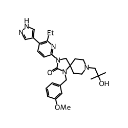 CCc1nc(N2CC3(CCN(CC(C)(C)O)CC3)N(Cc3cccc(OC)c3)C2=O)ccc1-c1cn[nH]c1